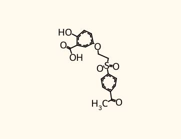 CC(=O)c1ccc(S(=O)(=O)CCOc2ccc(O)c(C(=O)O)c2)cc1